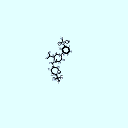 CC(C)[C@H]1CN(c2cccc(S(C)(=O)=O)c2)CCN1C[C@@H]1CCC(C(F)(F)F)OC1